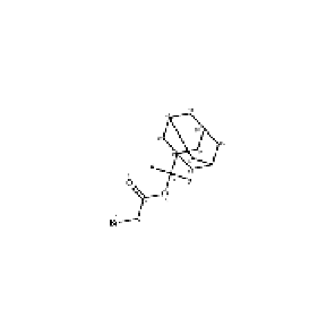 CC(C)(OC(=O)CBr)C12CC3CC(CC(C3)C1)C2